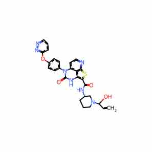 C=CC(O)N1CCC[C@@H](NC(=O)c2sc3nccc4c3c2NC(=O)N4c2ccc(Oc3cccnn3)cc2)C1